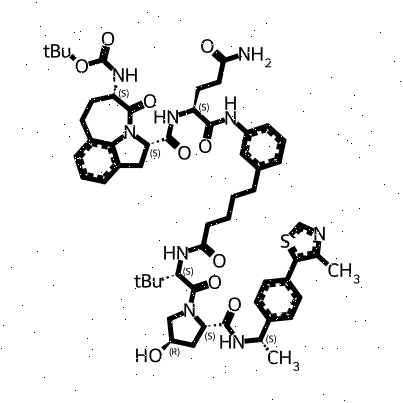 Cc1ncsc1-c1ccc([C@H](C)NC(=O)[C@@H]2C[C@@H](O)CN2C(=O)[C@@H](NC(=O)CCCCc2cccc(NC(=O)[C@H](CCC(N)=O)NC(=O)[C@@H]3Cc4cccc5c4N3C(=O)[C@@H](NC(=O)OC(C)(C)C)CC5)c2)C(C)(C)C)cc1